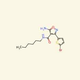 CCCCCCNC(=O)c1c(-c2ccc(Br)s2)noc1N